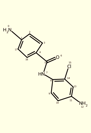 Nc1ccc(C(=O)Nc2ccc(N)cc2Cl)cc1